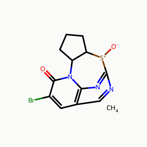 C.O=c1c(Br)cc2cnc3nc2n1C1CCCC1[S+]3[O-]